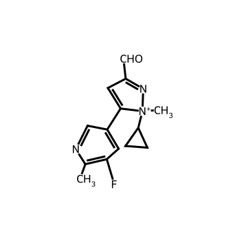 Cc1ncc(C2=CC(C=O)=N[N+]2(C)C2CC2)cc1F